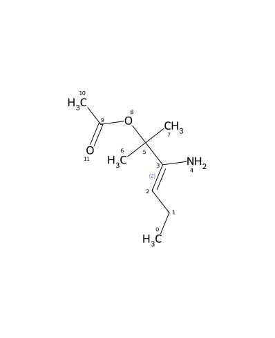 CC/C=C(\N)C(C)(C)OC(C)=O